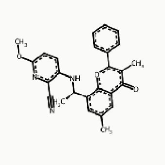 COc1ccc(N[C@H](C)c2cc(C)cc3c(=O)c(C)c(-c4ccccc4)oc23)c(C#N)n1